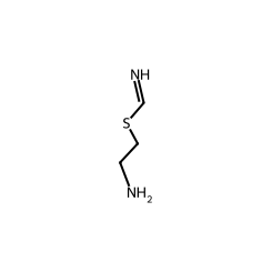 N=CSCCN